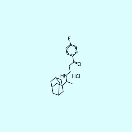 CC(NCCC(=O)c1ccc(F)cc1)C12CC3CC(CC(C3)C1)C2.Cl